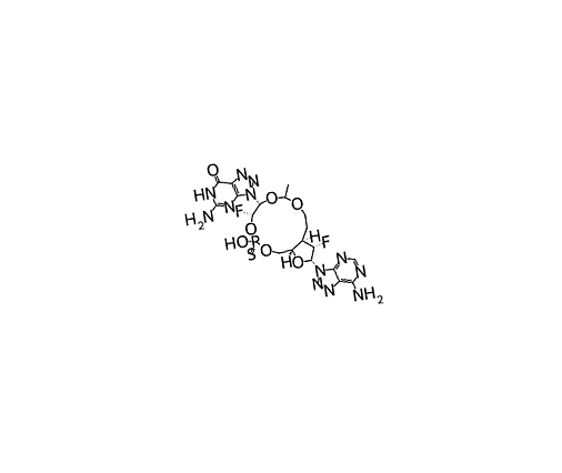 CC1OCC[C@H]2[C@H](F)[C@H](n3nnc4c(N)ncnc43)O[C@@H]2COP(O)(=S)O[C@H](F)[C@H](n2nnc3c(=O)[nH]c(N)nc32)O1